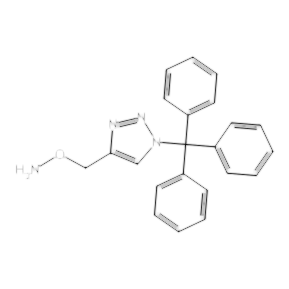 NOCc1cn(C(c2ccccc2)(c2ccccc2)c2ccccc2)nn1